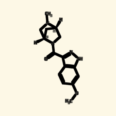 COc1ccc2c(C(=O)N3C[C@@H]4C[C@H]3CN4C)n[nH]c2c1